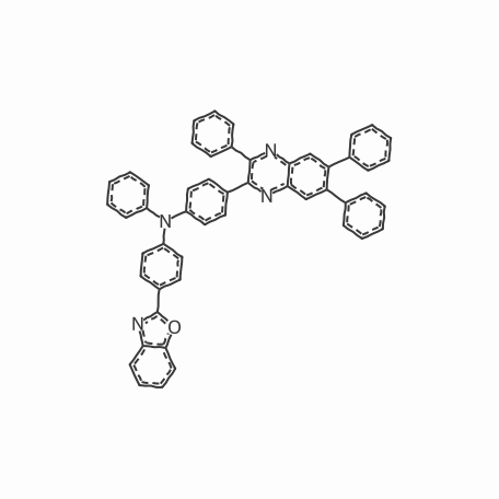 c1ccc(-c2cc3nc(-c4ccccc4)c(-c4ccc(N(c5ccccc5)c5ccc(-c6nc7ccccc7o6)cc5)cc4)nc3cc2-c2ccccc2)cc1